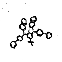 CC(C)(C)c1cc(N(c2ccc(-c3ccccc3)cc2)c2ccc3c(c2)C2CCC3CC2)c(Cl)c(N(c2ccc(-c3ccccc3)cc2)c2ccc3c(c2)C2CCC3CC2)c1